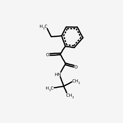 CCc1ccccc1C(=O)C(=O)NC(C)(C)C